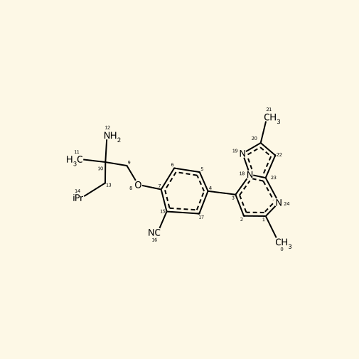 Cc1cc(-c2ccc(OCC(C)(N)CC(C)C)c(C#N)c2)n2nc(C)cc2n1